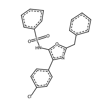 O=S(=O)(Nc1oc(Cc2ccccc2)nc1-c1ccc(Cl)cc1)c1ccccc1